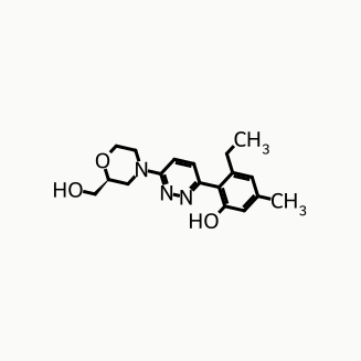 CCc1cc(C)cc(O)c1-c1ccc(N2CCO[C@H](CO)C2)nn1